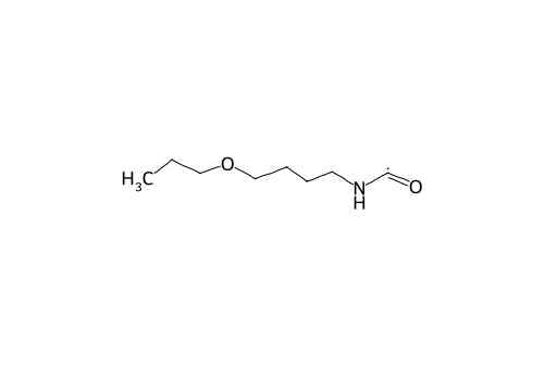 CCCOCCCCN[C]=O